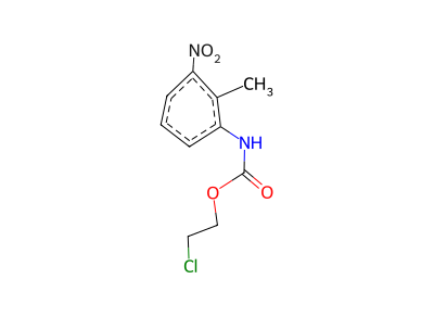 Cc1c(NC(=O)OCCCl)cccc1[N+](=O)[O-]